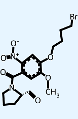 COc1cc(C(=O)N2CCC[C@H]2C=O)c([N+](=O)[O-])cc1OCCCCBr